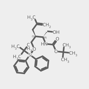 C=C(C)C[C@H](CO[Si](c1ccccc1)(c1ccccc1)C(C)(C)C)[C@H](CO)NC(=O)OC(C)(C)C